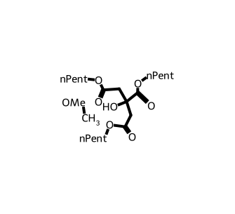 CCCCCOC(=O)CC(O)(CC(=O)OCCCCC)C(=O)OCCCCC.COC